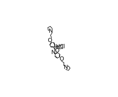 Cl.Cl.c1cc(-c2nc3ccc(OCCCN4CCCC4)cc3o2)ccc1OCCCN1CCCC1